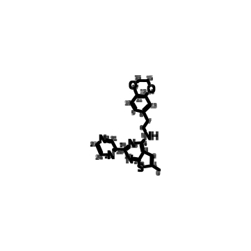 Cc1cc2c(NCCc3ccc4c(c3)OCCO4)nc(-c3cnccn3)nc2s1